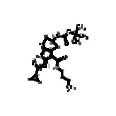 CCCCOC(=O)c1c(NC(=O)C2CC2)sc2c1CC(NC(=O)OC(C)(C)C)CC2